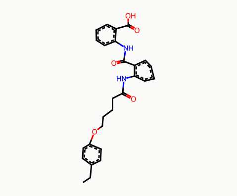 CCc1ccc(OCCCCC(=O)Nc2ccccc2C(=O)Nc2ccccc2C(=O)O)cc1